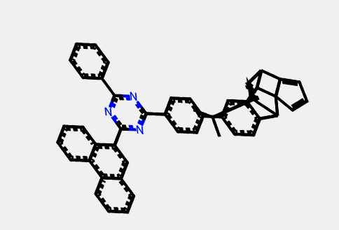 CC(C)c1ccc2c(c1)C1c3ccc(-c4ccc(-c5nc(-c6ccccc6)nc(-c6cc7ccccc7c7ccccc67)n5)cc4)cc3C3C2C2=CC=CC213